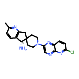 Cc1ccc2c(n1)CC1(CCN(c3cnc4nc(Cl)ccc4n3)CC1)[C@@H]2N